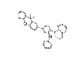 CC1(C)c2ccccc2Oc2ccc(-c3ccc4c5c(n(-c6ccccc6)c4c3)CCc3ccccc3-5)cc21